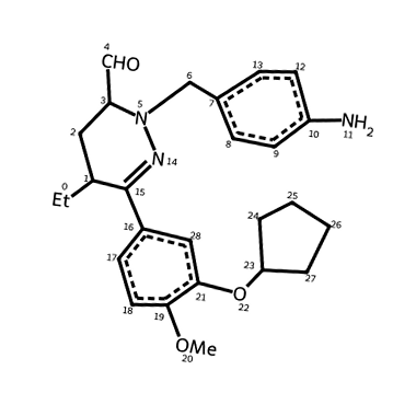 CCC1CC(C=O)N(Cc2ccc(N)cc2)N=C1c1ccc(OC)c(OC2CCCC2)c1